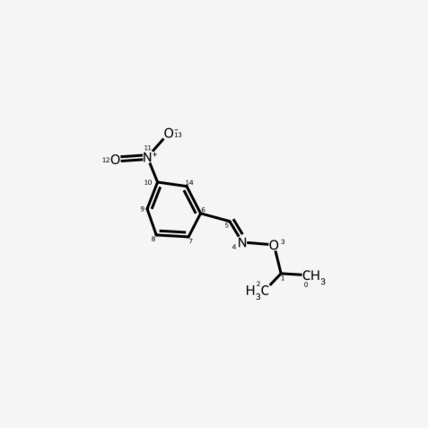 CC(C)ON=Cc1cccc([N+](=O)[O-])c1